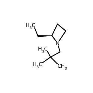 CC[C@H]1CCN1CC(C)(C)C